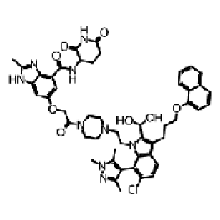 Cc1nc2c(C(=O)NC3CCC(=O)NC3=O)cc(OCC(=O)N3CCN(CCn4c(C(O)O)c(CCCOc5cccc6ccccc56)c5ccc(Cl)c(-c6c(C)nn(C)c6C)c54)CC3)cc2[nH]1